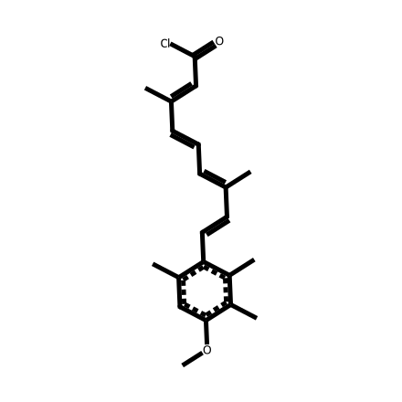 COc1cc(C)c(C=CC(C)=CC=CC(C)=CC(=O)Cl)c(C)c1C